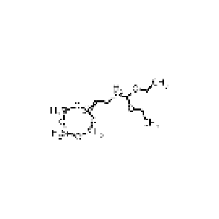 CCOC(OCC)[SiH2]CC=[Si]1O[SiH2]O[SiH2]O[SiH2]O1